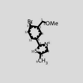 COCc1cc(-c2ncc(C)s2)ccc1Br